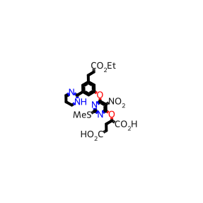 CCOC(=O)CCc1cc(Oc2nc(SC)nc(OC(CCC(=O)O)C(=O)O)c2[N+](=O)[O-])cc(C2N=CCCN2)c1